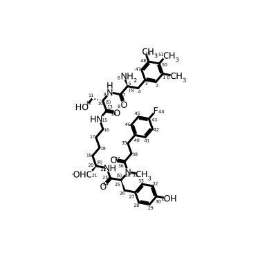 Cc1cc(C[C@H](N)C(=O)N[C@@H](CO)C(=O)NCCCC[C@H]([C]=O)NC(=O)[C@H](Cc2ccc(O)cc2)N(C)C(=O)CCc2ccc(F)cc2)cc(C)c1C